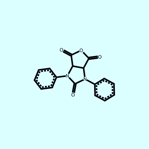 O=C1OC(=O)C2C1N(c1ccccc1)C(=O)N2c1ccccc1